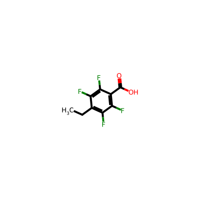 CCc1c(F)c(F)c(C(=O)O)c(F)c1F